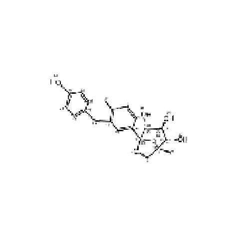 Cc1ccc([C@]23OC[C@](C)(O2)[C@@H](O)[C@H](O)[C@H]3O)cc1Cc1ccc(O)cc1